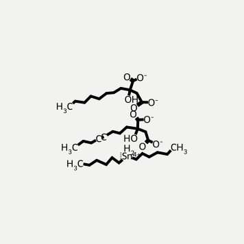 CCCCCCCCC(O)(CC(=O)[O-])C(=O)[O-].CCCCCCCCC(O)(CC(=O)[O-])C(=O)[O-].CCCCC[CH2][SnH2+4][CH2]CCCCC